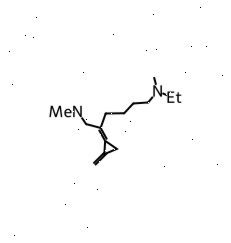 C=C1C/C1=C(\CCCCN(C)CC)CNC